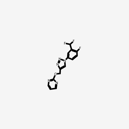 Fc1ccc(-n2cc(COc3ncccn3)nn2)cc1C(F)F